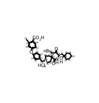 CCCCN1C(=O)[C@@H](CC2(O)CCCCC2)NC(=O)C12CCN(Cc1ccc(Oc3ccc(C(=O)O)c(C)c3)cc1)CC2.Cl